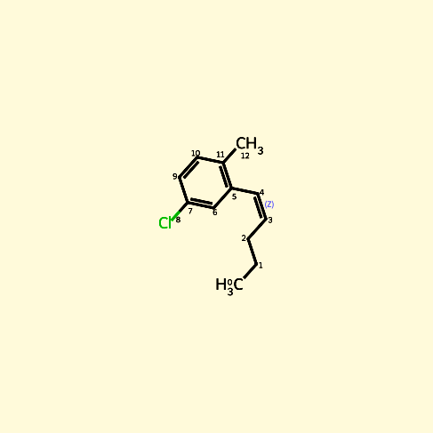 CCC/C=C\c1cc(Cl)ccc1C